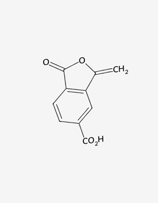 C=C1OC(=O)c2ccc(C(=O)O)cc21